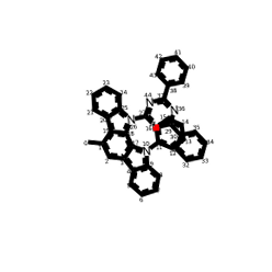 Cc1cc2c3ccccc3n(-c3ccccc3)c2c2c1c1ccccc1n2-c1nc(-c2ccccc2)nc(-c2ccccc2)n1